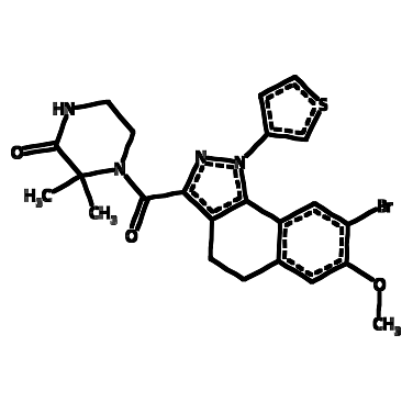 COc1cc2c(cc1Br)-c1c(c(C(=O)N3CCNC(=O)C3(C)C)nn1-c1ccsc1)CC2